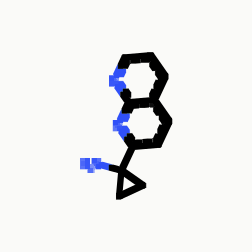 NC1(c2ccc3cccnc3n2)CC1